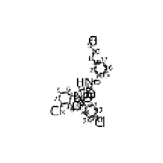 Cc1c(Cl)cccc1N(CC(=O)NCc1cccc(CCC=O)c1)S(=O)(=O)c1ccc(Cl)cc1